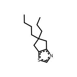 CCCCC1(CCC)Cc2ncsc2C1